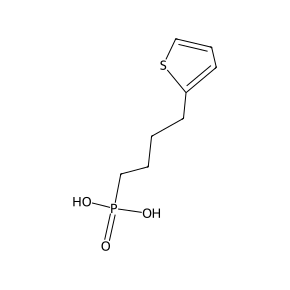 O=P(O)(O)CCCCc1cccs1